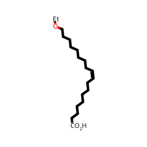 CCOCCCCCCCC/C=C\CCCCCCCC(=O)O